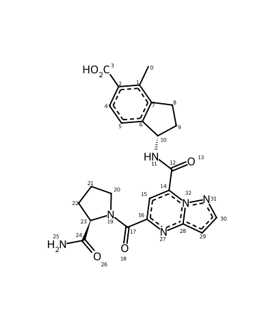 Cc1c(C(=O)O)ccc2c1CC[C@@H]2NC(=O)c1cc(C(=O)N2CCC[C@@H]2C(N)=O)nc2ccnn12